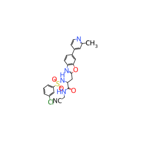 Cc1cc(-c2ccc3nc(CC(NS(=O)(=O)c4cccc(Cl)c4)C(=O)NCC#N)oc3c2)ccn1